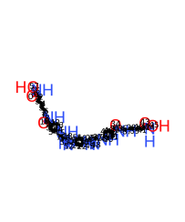 O=C(CCCCCCNC(=O)c1ccc(NCc2cn(-c3ccc(-n4cc(CNc5ccc(C(=O)NCCCCCCC(=O)NO)cc5)nn4)cc3)nn2)cc1)NO